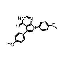 COc1ccc(-c2cn(-c3ccc(OC)cc3)c3nc[nH]c(=O)c23)cc1